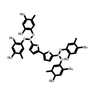 Cc1cc(OP(OC2=CC(C)C(C(C)(C)C)C=C2C(C)(C)C)c2ccc(-c3ccc(P(Oc4cc(C)c(C(C)(C)C)cc4C(C)(C)C)Oc4cc(C)c(C(C)(C)C)cc4C(C)(C)C)s3)s2)c(C(C)(C)C)cc1C(C)(C)C